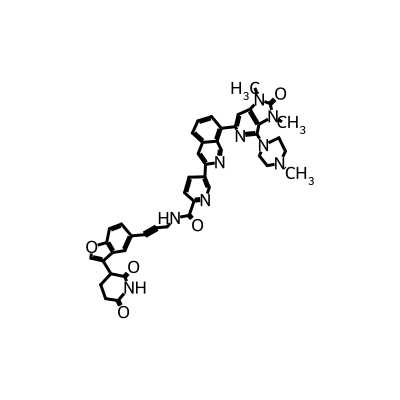 CN1CCN(c2nc(-c3cccc4cc(-c5ccc(C(=O)NCC#Cc6ccc7occ(C8CCC(=O)NC8=O)c7c6)nc5)ncc34)cc3c2n(C)c(=O)n3C)CC1